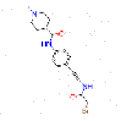 CN1CCC(C(=O)Nc2ccc(C#CNC(=O)CBr)cc2)CC1